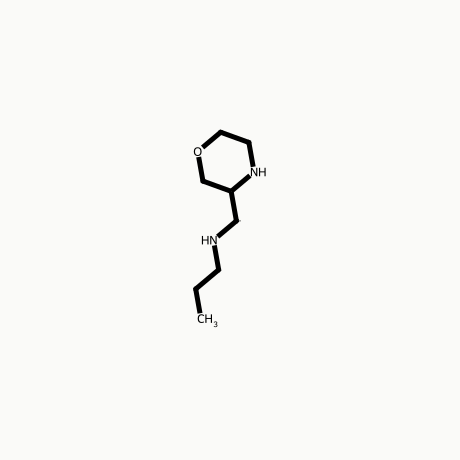 CCCN[CH]C1COCCN1